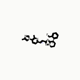 Cc1cn(-c2ccc(/C=C/c3nc4n(n3)CCC[C@@H]4c3ccccc3CF)nc2C)cn1